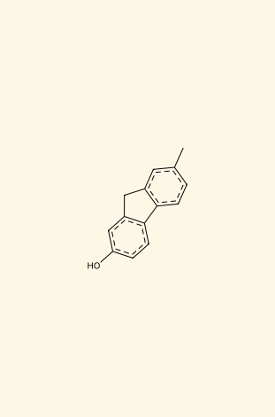 Cc1ccc2c(c1)Cc1cc(O)ccc1-2